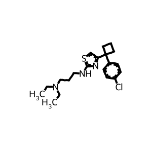 CCN(CC)CCCNc1nc(C2(c3ccc(Cl)cc3)CCC2)cs1